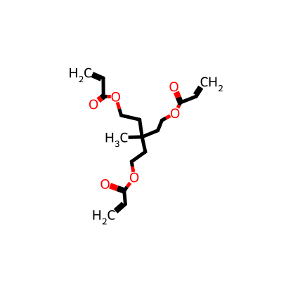 C=CC(=O)OCCC(C)(CCOC(=O)C=C)CCOC(=O)C=C